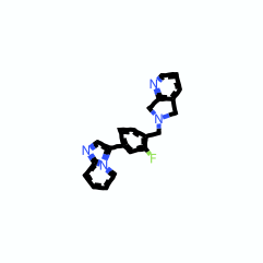 Fc1cc(-c2cnc3ccccn23)ccc1CN1Cc2cccnc2C1